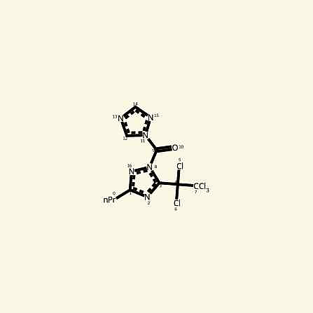 CCCc1nc(C(Cl)(Cl)C(Cl)(Cl)Cl)n(C(=O)n2cncn2)n1